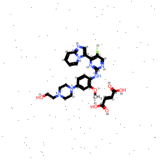 COc1cc(N2CCN(CCO)CC2)ccc1Nc1ncc(F)c(-c2cnc3ccccn23)n1.O=C(O)/C=C/C(=O)O